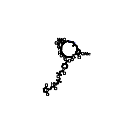 COc1cc2cc(c1Cl)N(C)C(=O)C[C@H](OC(=O)C1CCN(C(=O)CC(C)(C)OCC(C)(C)CNC(=O)CCN3C(=O)C=CC3=O)CC1)[C@@]1(C)O[C@H]1[C@H](C)[C@@H]1C[C@@](O)(NC(=O)O1)C(OC)/C=C/C=C(\C)C2